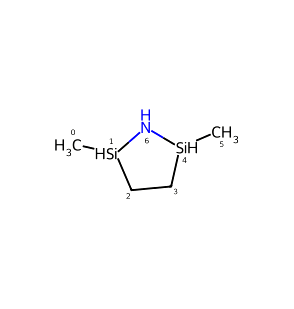 C[SiH]1CC[SiH](C)N1